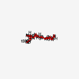 Cn1cc(-c2nc3c(-c4ccnc(N5CCn6c(cc7c6CC(C)(CCC(C)(C)c6nc(C(=O)NCc8ncc(-c9ccnc%10[nH]c(-c%11cnn(Cc%12cnc%13[nH]c(-c%14cnn(C)c%14)nc%13c%12-c%12cnc(CNC(=O)c%13nnc(C(C)(C)C)o%13)c(F)c%12)c%11)nc9%10)cc8F)no6)C7)C5=O)c4CO)ccnc3[nH]2)cn1